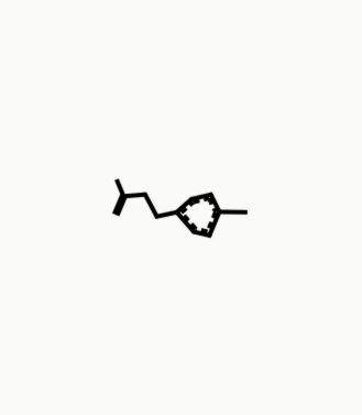 C=C(C)CCc1ccc(C)cc1